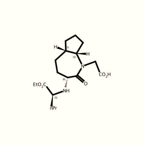 CCC[C@H](N[C@@H]1CC[C@@H]2CCC[C@@H]2N(CC(=O)O)C1=O)C(=O)OCC